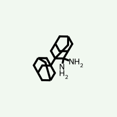 NC1(N)C2CC3CC(C2)CC1(C12CC4CC(CC(C4)C1)C2)C3